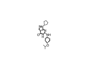 CC(C)Oc1ccc(Nc2nc3c(cnn3C3CCCC3)c(=O)[nH]2)cc1